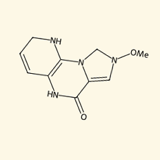 CON1C=C2C(=O)NC3=C(NCC=C3)N2C1